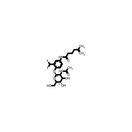 C=C(C)CCCC(=O)Nc1ccc(O[C@@H]2OC(CO)[C@@H](O)C(O)C2NC(C)=O)c(C(F)F)c1